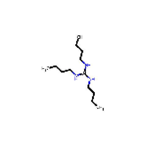 CCCC[NH][Al]([NH]CCCC)[NH]CCCC